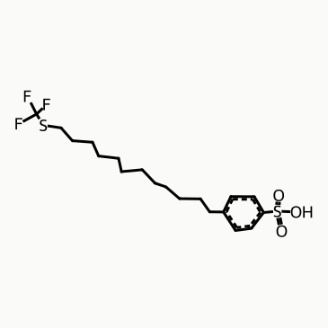 O=S(=O)(O)c1ccc(CCCCCCCCCCCCSC(F)(F)F)cc1